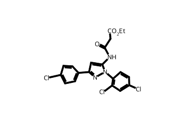 CCOC(=O)CC(=O)Nc1cc(-c2ccc(Cl)cc2)nn1-c1ccc(Cl)cc1Cl